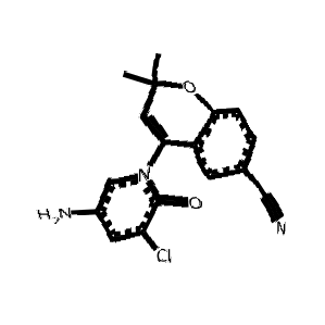 CC1(C)C=C(n2cc(N)cc(Cl)c2=O)c2cc(C#N)ccc2O1